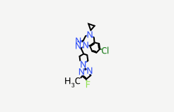 Cc1nc(N2CCC(c3nnc4n3-c3ccc(Cl)cc3CN(C3CC3)C4)CC2)ncc1F